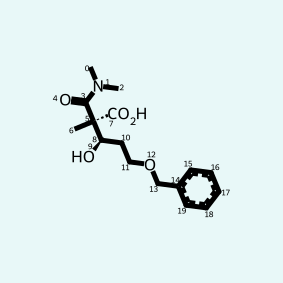 CN(C)C(=O)[C@@](C)(C(=O)O)[C@H](O)CCOCc1ccccc1